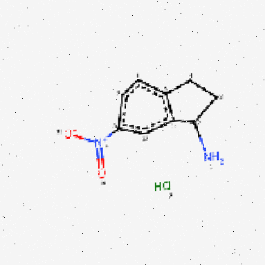 Cl.NC1CCc2ccc([N+](=O)[O-])cc21